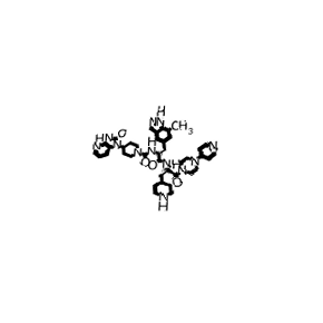 Cc1cc(C[C@H](NC(=O)N2CCC(n3c(=O)[nH]c4ncccc43)CC2)C(=O)N[C@H](CC2CCNCC2)C(=O)N2CCN(c3ccncc3)CC2)cc2cn[nH]c12